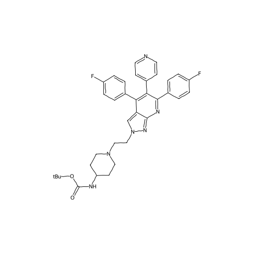 CC(C)(C)OC(=O)NC1CCN(CCn2cc3c(-c4ccc(F)cc4)c(-c4ccncc4)c(-c4ccc(F)cc4)nc3n2)CC1